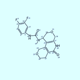 CN(C(=O)Nc1ccc(F)c(F)c1)C1COCc2[nH]c(=O)c3c(c21)COCC3